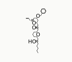 C=CC[C@@H]1CC(OCc2ccccc2)CC(C[C@@H](CC2CCCC(C[C@@H](O)CCCCC)O2)OC)O1